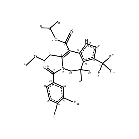 COCCC1=C(C(=O)OC(C)C)c2[nH]nc(C(F)(F)F)c2C(C)(C)CN1C(=O)c1ccc(F)c(F)c1